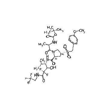 COc1ccc(CS(=O)(=O)[C@@H]2C[C@@H](C(=O)NC(C(C)C)C(O)C(F)(F)C(=O)NCC(F)(F)F)N(C(=O)C(C)NC(=O)OC(C)(C)C)C2)cc1